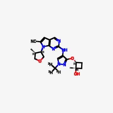 [2H]C([2H])([2H])n1cc(Nc2ncc3cc(C#N)n([C@H]4COC[C@@H]4C)c3n2)c(O[C@@H]2CC[C@@]2(C)O)n1